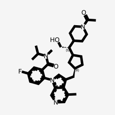 CC(=O)N1CCC([C@@H](CO)C2CC[C@@H](Cc3cn(-c4ccc(F)cc4C(=O)N(C)C(C)C)c4cncc(C)c34)C2)CC1